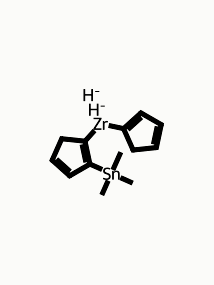 [CH3][Sn]([CH3])([CH3])[C]1=[C]([Zr][C]2=CC=CC2)CC=C1.[H-].[H-]